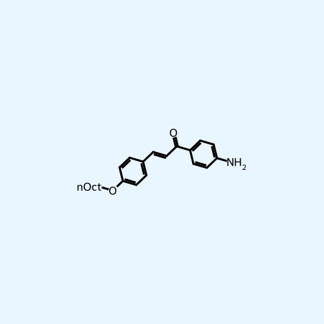 CCCCCCCCOc1ccc(/C=C/C(=O)c2ccc(N)cc2)cc1